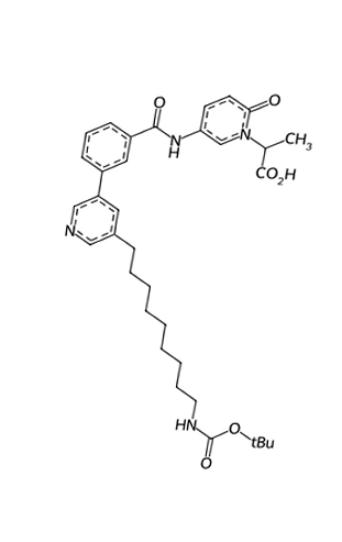 CC(C(=O)O)n1cc(NC(=O)c2cccc(-c3cncc(CCCCCCCCCNC(=O)OC(C)(C)C)c3)c2)ccc1=O